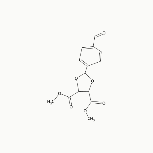 COC(=O)C1OC(c2ccc(C=O)cc2)OC1C(=O)OC